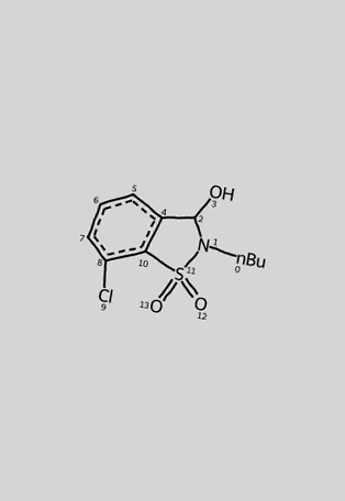 CCCCN1C(O)c2cccc(Cl)c2S1(=O)=O